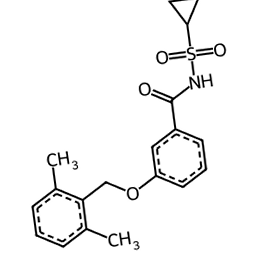 Cc1cccc(C)c1COc1cccc(C(=O)NS(=O)(=O)C2CC2)c1